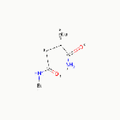 CCCC[C@@H](CC(=O)NCC)C(N)=O